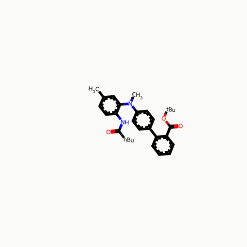 CCCCC(=O)Nc1ccc(C)cc1N(C)c1ccc(-c2ccccc2C(=O)OC(C)(C)C)cc1